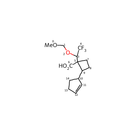 COCOC(C(F)(F)F)C1(C(=O)O)CCC1C1C=CCC1